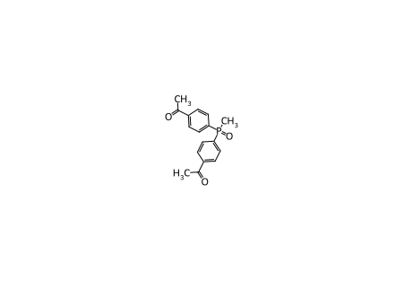 CC(=O)c1ccc(P(C)(=O)c2ccc(C(C)=O)cc2)cc1